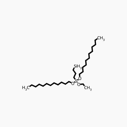 CCCCCCCCCCCCOS(CCC[SiH3])(OCC)OCCCCCCCCCCCC